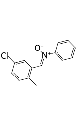 Cc1ccc(Cl)cc1C=[N+]([O-])c1ccccc1